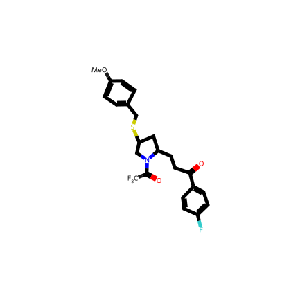 COc1ccc(CSC2CC(CCC(=O)c3ccc(F)cc3)N(C(=O)C(F)(F)F)C2)cc1